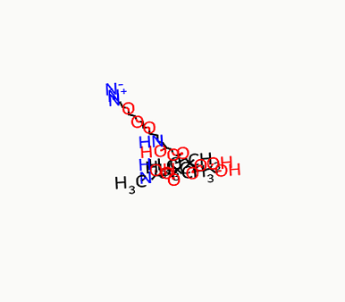 CCC(C)(CC(C)(CC(C)(C)C(=O)OCC(O)CO)C(=O)OCC(O)CNCCOCCOCCOCCN=[N+]=[N-])C(=O)OCC(O)CNC